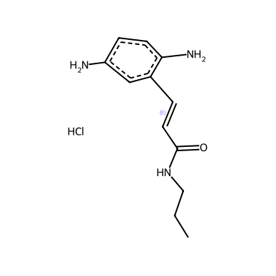 CCCNC(=O)/C=C/c1cc(N)ccc1N.Cl